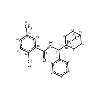 O=C(NC(c1ccccc1)C12CCC(CC1)CN2)c1cc(C(F)(F)F)ccc1Cl